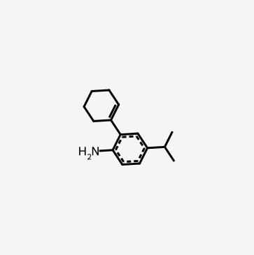 CC(C)c1ccc(N)c(C2=CCCCC2)c1